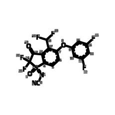 N#CN=S1(=O)c2ccc(Oc3cc(F)cc(F)c3)c(C(F)F)c2C(=O)C1(F)F